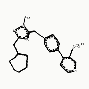 CCCCCn1nc(CC2CCCCC2)nc1Cc1ccc(-c2ccncc2C(=O)O)cc1